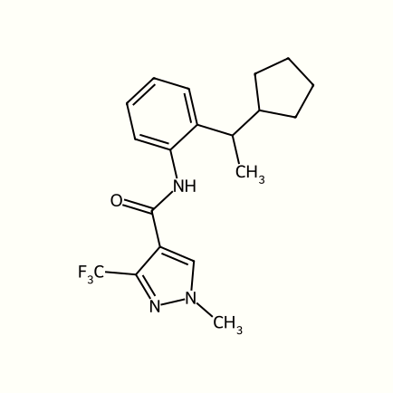 CC(c1ccccc1NC(=O)c1cn(C)nc1C(F)(F)F)C1CCCC1